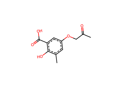 CC(=O)COc1cc(C)c(O)c(C(=O)O)c1